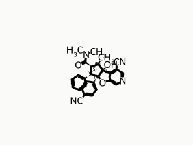 C[C@@H]1[C@H](C(=O)N(C)C)[C@@H](c2ccccc2)[C@]2(c3ccc(C#N)cc3)Oc3cncc(C#N)c3[C@]12O